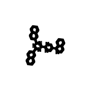 c1ccc2cc(-c3nc(-c4ccc5ccccc5c4)nc(-c4ncc(-c5nccc6ccccc56)cn4)n3)ccc2c1